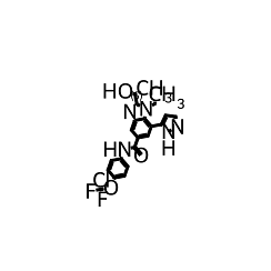 CCn1c([C@H](C)O)nc2cc(C(=O)Nc3ccc(OC(F)(F)Cl)cc3)cc(-c3ccn[nH]3)c21